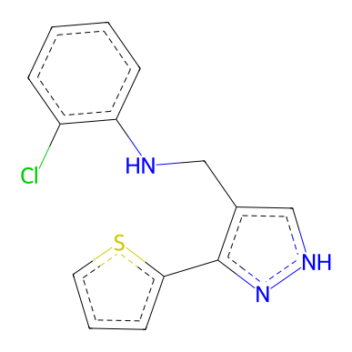 Clc1ccccc1NCc1c[nH]nc1-c1cccs1